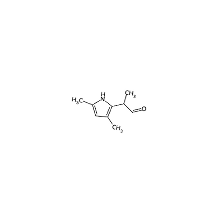 Cc1cc(C)c(C(C)C=O)[nH]1